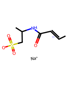 C/C=C/C(=O)NC(C)CS(=O)(=O)[O-].[Na+]